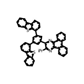 CC(C)c1nc2c3ccccc3c3ccccc3c2nc1-c1cc(-c2cccc3c2sc2ccccc23)cc(-c2cccc3c2sc2ccccc23)c1